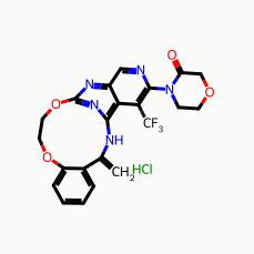 C=C1Nc2nc(nc3cnc(N4CCOCC4=O)c(C(F)(F)F)c23)OCCOc2ccccc21.Cl